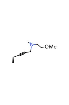 C=CC#CCN(C)CCOC